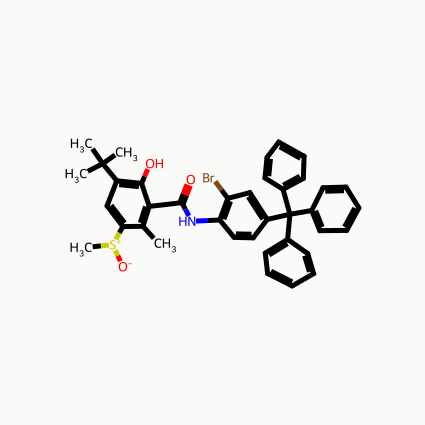 Cc1c([S+](C)[O-])cc(C(C)(C)C)c(O)c1C(=O)Nc1ccc(C(c2ccccc2)(c2ccccc2)c2ccccc2)cc1Br